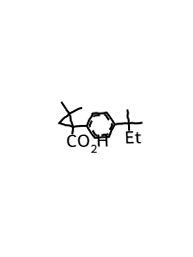 CCC(C)(C)c1ccc(C2(C(=O)O)CC2(C)C)cc1